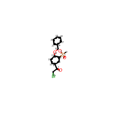 CS(=O)(=O)c1cc(C(=O)CBr)ccc1OCc1ccccc1